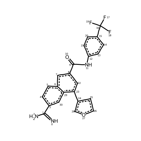 N=C(N)c1ccc2cc(C(=O)Nc3ccc(C(F)(F)F)cc3)cc(-c3ccoc3)c2c1